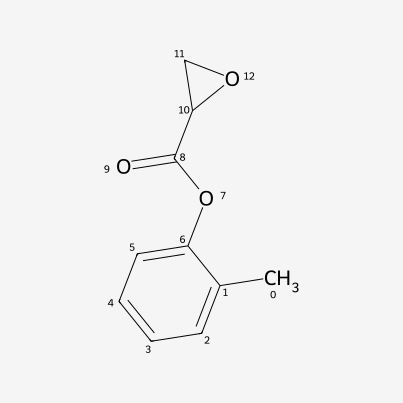 Cc1ccccc1OC(=O)C1CO1